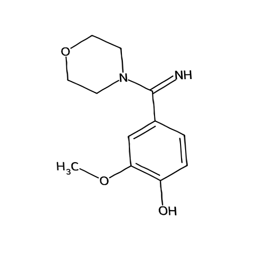 COc1cc(C(=N)N2CCOCC2)ccc1O